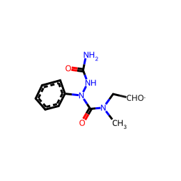 CN(C[C]=O)C(=O)N(NC(N)=O)c1ccccc1